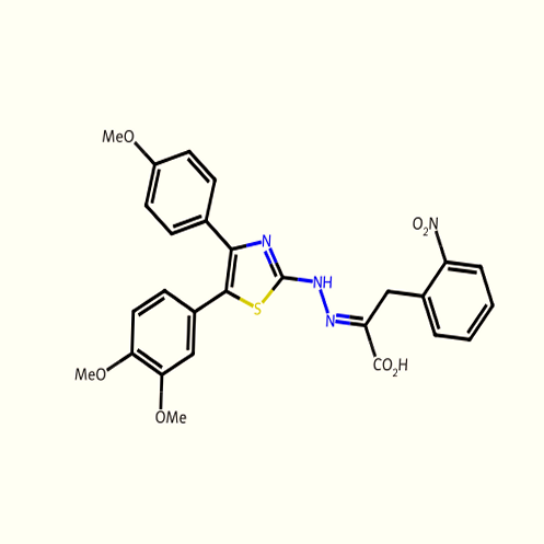 COc1ccc(-c2nc(NN=C(Cc3ccccc3[N+](=O)[O-])C(=O)O)sc2-c2ccc(OC)c(OC)c2)cc1